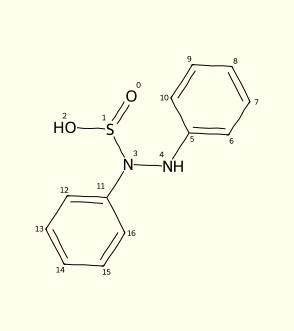 O=S(O)N(Nc1ccccc1)c1ccccc1